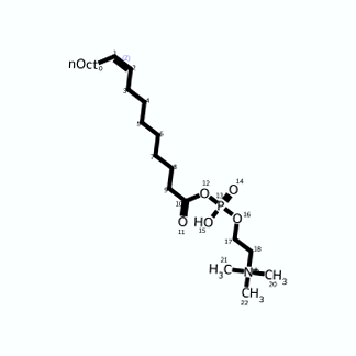 CCCCCCCC/C=C\CCCCCCCC(=O)OP(=O)(O)OCC[N+](C)(C)C